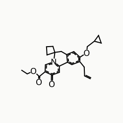 C=CCc1cc2c(cc1OCC1CC1)CC1(CCC1)n1cc(C(=O)OCC)c(=O)cc1-2